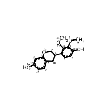 COc1c(O)ccc(C2COc3cc(O)ccc3C2)c1OC